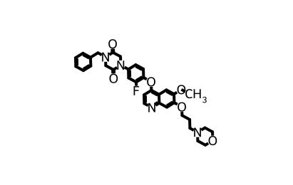 COc1cc2c(Oc3ccc(N4CC(=O)N(Cc5ccccc5)CC4=O)cc3F)ccnc2cc1OCCCN1CCOCC1